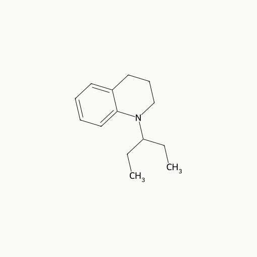 CCC(CC)N1CCCc2ccccc21